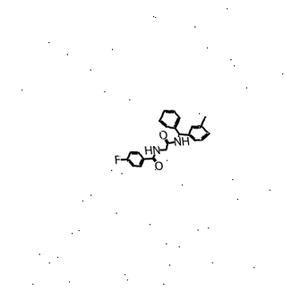 Cc1cccc(C(NC(=O)CNC(=O)c2ccc(F)cc2)c2ccccc2)c1